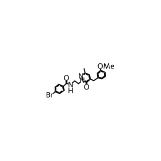 COc1cccc(Cc2cc(C)nn(CCNC(=O)c3ccc(Br)cc3)c2=O)c1